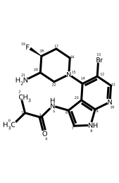 CC(C)C(=O)Nc1c[nH]c2ncc(Br)c(N3CC[C@H](F)C(N)C3)c12